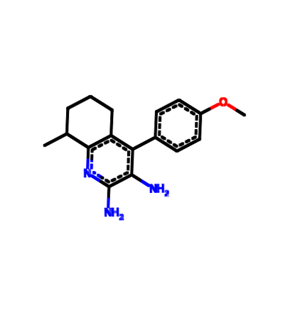 COc1ccc(-c2c(N)c(N)nc3c2CCCC3C)cc1